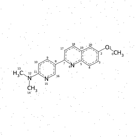 COc1ccc2nc(-c3ccc(N(C)C)nc3)ccc2c1